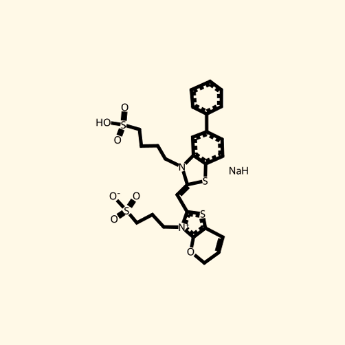 O=S(=O)([O-])CCC[n+]1c(C=C2Sc3ccc(-c4ccccc4)cc3N2CCCCS(=O)(=O)O)sc2c1OCC=C2.[NaH]